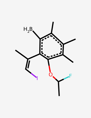 Bc1c(C)c(C)c(C)c(OC(C)F)c1/C(C)=C\I